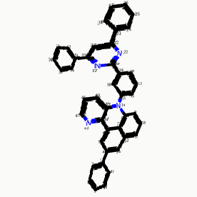 c1ccc(-c2cc3c4c(cccc4c2)N(c2cccc(-c4nc(-c5ccccc5)cc(-c5ccccc5)n4)c2)c2cccnc2-3)cc1